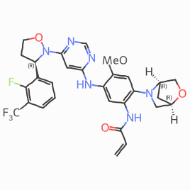 C=CC(=O)Nc1cc(Nc2cc(N3OCC[C@@H]3c3cccc(C(F)(F)F)c3F)ncn2)c(OC)cc1N1C[C@H]2C[C@@H]1CO2